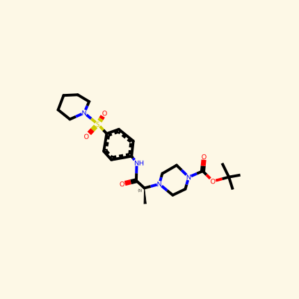 C[C@@H](C(=O)Nc1ccc(S(=O)(=O)N2CCCCC2)cc1)N1CCN(C(=O)OC(C)(C)C)CC1